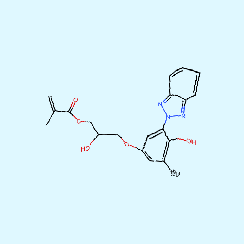 C=C(C)C(=O)OCC(O)COc1cc(-n2nc3ccccc3n2)c(O)c(C(C)(C)C)c1